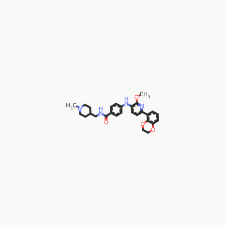 COc1nc(-c2cccc3c2OCCO3)ccc1Nc1ccc(C(=O)NCC2CCN(C)CC2)cc1